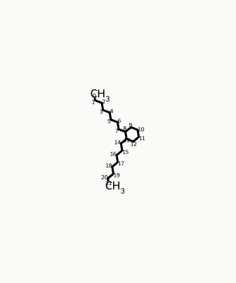 CCCCCCCCC1CCCCC1CCCCCCCC